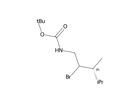 CC(C)[C@@H](C)C(Br)CNC(=O)OC(C)(C)C